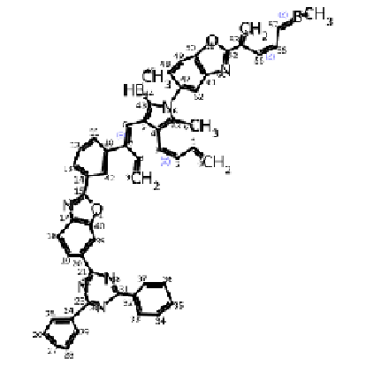 C=C/C=C\c1c(/C=C(\C=C)c2cccc(-c3nc4ccc(-c5nc(-c6ccccc6)nc(-c6ccccc6)n5)cc4o3)c2)c(BC)n(-c2ccc3oc(C(=C)/C=C\C=B/C)nc3c2)c1C